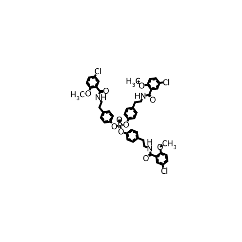 COc1ccc(Cl)cc1C(=O)NCCc1ccc(OP(=O)(Oc2ccc(CCNC(=O)c3cc(Cl)ccc3OC)cc2)Oc2ccc(CCNC(=O)c3cc(Cl)ccc3OC)cc2)cc1